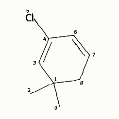 CC1(C)C=C(Cl)C=CC1